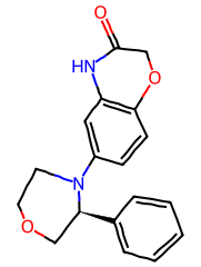 O=C1COc2ccc(N3CCOC[C@@H]3c3ccccc3)cc2N1